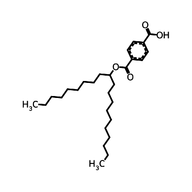 CCCCCCCCCCC(CCCCCCCCC)OC(=O)c1ccc(C(=O)O)cc1